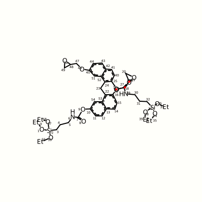 CCO[Si](CCCNC(=O)Oc1ccc2ccc(OCC3CO3)c(Cc3c(OC(=O)NCCC[Si](OCC)(OCC)OCC)ccc4ccc(OCC5CO5)cc34)c2c1)(OCC)OCC